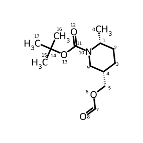 C[C@@H]1CC[C@H](COC=O)CN1C(=O)OC(C)(C)C